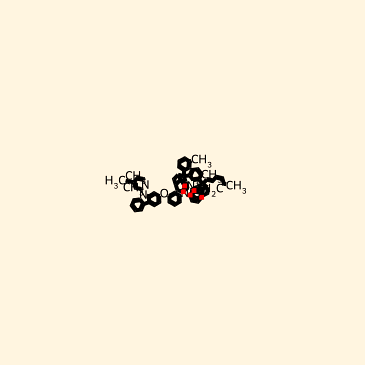 C=C(C)/C=C\C=C(/C)C1(c2cccc(C3(c4cccc(C)c4)C4CC5CC(C4)CC3C5)c2-[n+]2cn(-c3cccc(Oc4ccc5c6ccccc6n(-c6cc(C(C)(C)C)ccn6)c5c4)c3)c3ccccc32)C2CC3CC(C2)CC1C3